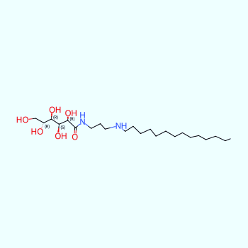 CCCCCCCCCCCCCCNCCCNC(=O)[C@H](O)[C@@H](O)[C@H](O)[C@H](O)CO